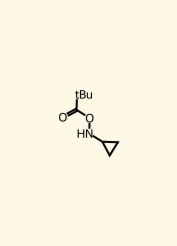 CC(C)(C)C(=O)ONC1CC1